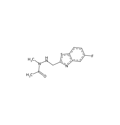 CC(=O)N(C)NCc1nc2cc(F)ccc2s1